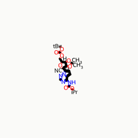 CC(C)OC(=O)Nc1ncnn2c([C@]3(C#N)OC(COC(=O)OC(C)(C)C)[C@H]4OC(C)(C)O[C@H]43)ccc12